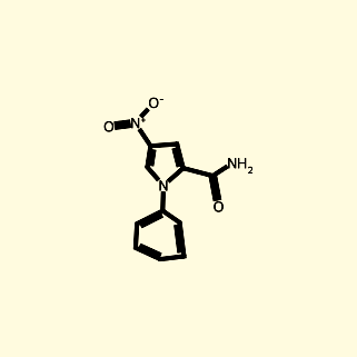 NC(=O)c1cc([N+](=O)[O-])cn1-c1ccccc1